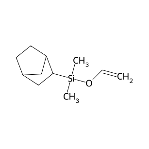 C=CO[Si](C)(C)C1CC2CCC1C2